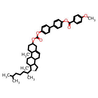 COc1ccc(C(=O)Oc2ccc(-c3ccc(OC(=O)OC4CC[C@@]5(C)C(=CCC6C5CC[C@@]5(C)C6CC[C@@H]5[C@H](C)CCCC(C)C)C4)cc3)cc2)cc1